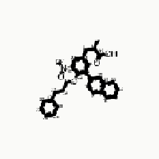 CC(Cc1cc(-c2ccc3ccccc3c2)c(OCCCc2ccccc2)c([N+](=O)[O-])c1)C(=O)O